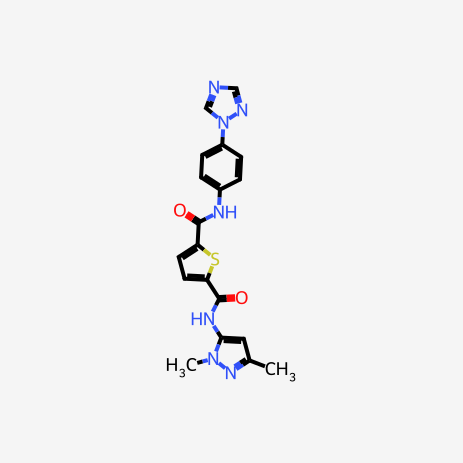 Cc1cc(NC(=O)c2ccc(C(=O)Nc3ccc(-n4cncn4)cc3)s2)n(C)n1